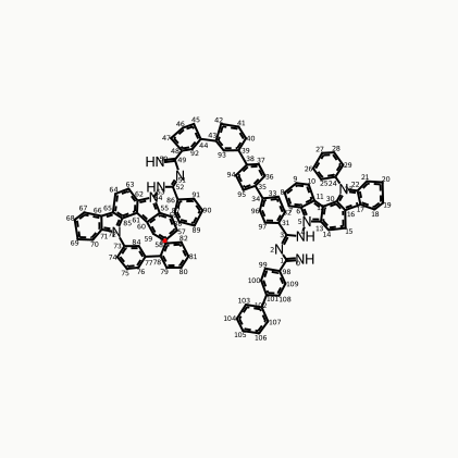 N=C(/N=C(\Nn1c2ccccc2c2c1ccc1c3ccccc3n(-c3ccccc3)c12)c1ccc(-c2ccc(-c3cccc(-c4cccc(C(=N)/N=C(\Nn5c6ccccc6c6c5ccc5c7ccccc7n(-c7cccc(-c8ccccc8)c7)c56)c5ccccc5)c4)c3)cc2)cc1)c1ccc(-c2ccccc2)cc1